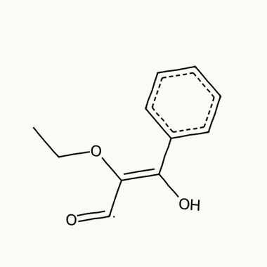 CCOC([C]=O)=C(O)c1ccccc1